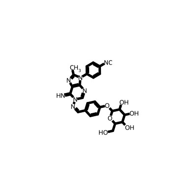 [C-]#[N+]c1ccc(-n2c(C)nc3c(=N)n(/N=C\c4ccc(OC5OC(CO)C(O)C(O)C5O)cc4)cnc32)cc1